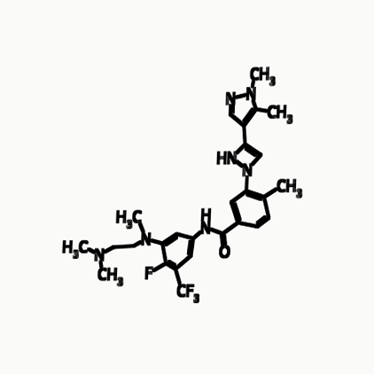 Cc1ccc(C(=O)Nc2cc(N(C)CCN(C)C)c(F)c(C(F)(F)F)c2)cc1-n1cc(-c2cnn(C)c2C)[nH]1